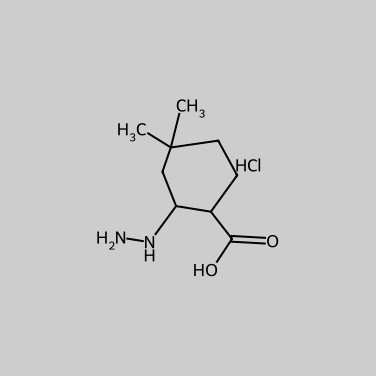 CC1(C)CCC(C(=O)O)C(NN)C1.Cl